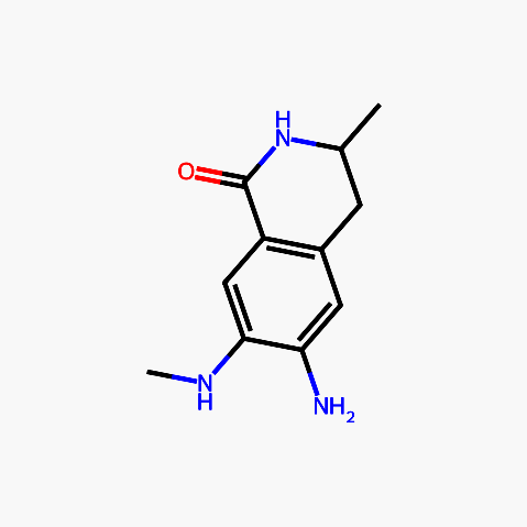 CNc1cc2c(cc1N)CC(C)NC2=O